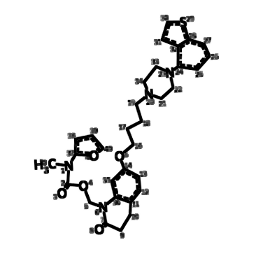 CN(C(=O)OCN1C(=O)CCc2ccc(OCCCCN3CCN(c4cccc5sccc45)CC3)cc21)c1ccco1